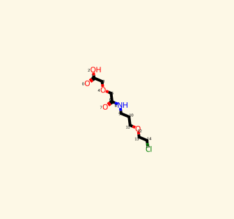 O=C(O)COCC(=O)NCCCOCCCl